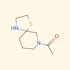 CC(=O)N1CCCC2(C1)NCCS2